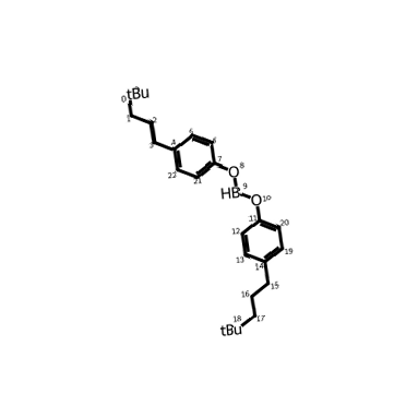 CC(C)(C)CCCc1ccc(OBOc2ccc(CCCC(C)(C)C)cc2)cc1